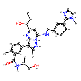 CCC(O)c1cc(NCc2cccc(-c3nccn3C)c2)n2nc(C)c(-c3ccc(C)c(C(=O)N(C)[C@@H](C)CO)c3)c2n1